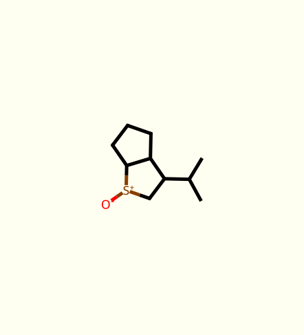 CC(C)C1C[S+]([O-])C2CCCC12